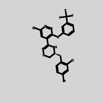 FC(F)(F)c1cccc(Oc2nnc(Cl)cc2C2=NOC[C@@H](Cc3ccc(Br)cc3Cl)N2)c1